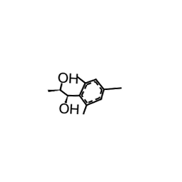 Cc1cc(C)c([C@@H](O)[C@@H](C)O)c(C)c1